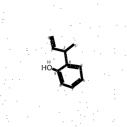 C=CC(C)c1ccccc1O